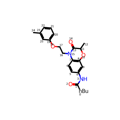 CCCCC(=O)Nc1ccc2c(c1)OC(C)C(=O)N2CCOc1cccc(C)c1